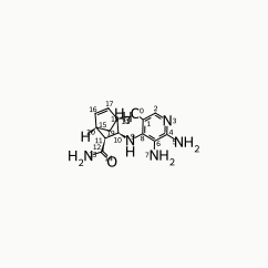 Cc1cnc(N)c(N)c1N[C@H]1[C@@H](C(N)=O)[C@@H]2C=C[C@H]1C2